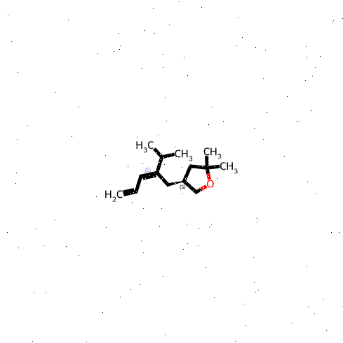 C=C/C=C(\C[C@@H]1COC(C)(C)C1)C(C)C